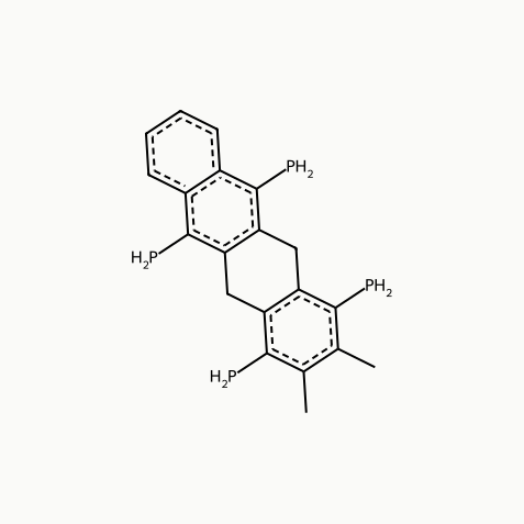 Cc1c(C)c(P)c2c(c1P)Cc1c(c(P)c3ccccc3c1P)C2